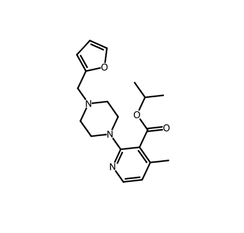 Cc1ccnc(N2CCN(Cc3ccco3)CC2)c1C(=O)OC(C)C